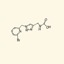 O=C(O)NCc1cn(Cc2cccc(Br)n2)nn1